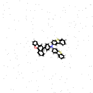 c1ccc2c(c1)oc1c3ccccc3c(-c3ccc(N(c4ccc5c(c4)sc4ccccc45)c4ccc5sc6ccccc6c5c4)cc3)cc21